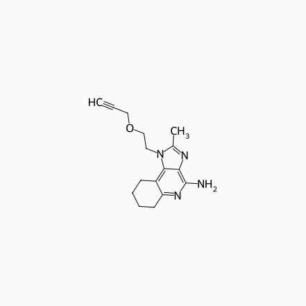 C#CCOCCn1c(C)nc2c(N)nc3c(c21)CCCC3